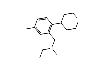 CCN(C)Cc1cc(Br)ccc1C1CCOCC1